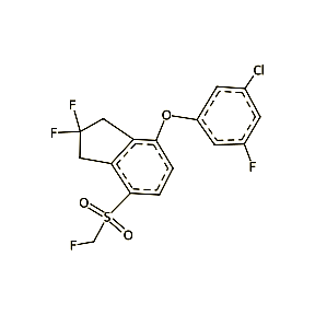 O=S(=O)(CF)c1ccc(Oc2cc(F)cc(Cl)c2)c2c1CC(F)(F)C2